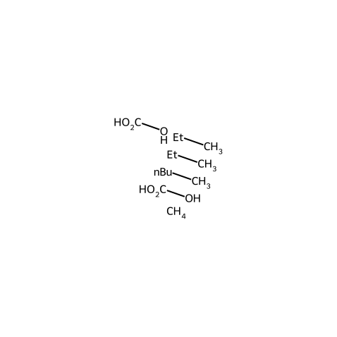 C.CCC.CCC.CCCCC.O=C(O)O.O=C(O)O